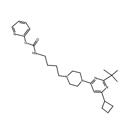 CC(C)(C)c1nc(C2CCC2)cc(N2CCN(CCCCNC(=O)Oc3ccccn3)CC2)n1